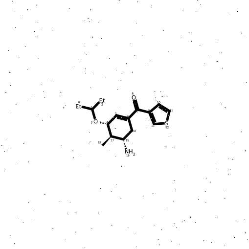 CCC(CC)O[C@@H]1C=C(C(=O)c2ccsc2)C[C@H](N)[C@H]1C